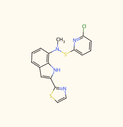 CN(Sc1cccc(Cl)n1)c1cccc2cc(-c3nccs3)[nH]c12